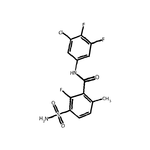 Cc1ccc(S(N)(=O)=O)c(F)c1C(=O)Nc1cc(F)c(F)c(Cl)c1